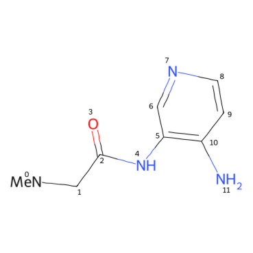 CNCC(=O)Nc1cnccc1N